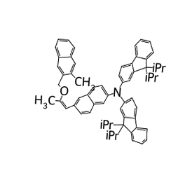 CC(=Cc1ccc2cc(N(c3ccc4c(c3)C(C(C)C)(C(C)C)c3ccccc3-4)c3ccc4c(c3)C(C(C)C)(C(C)C)c3ccccc3-4)ccc2c1)OCc1cc2ccccc2cc1C